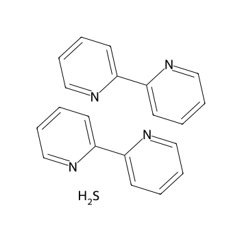 S.c1ccc(-c2ccccn2)nc1.c1ccc(-c2ccccn2)nc1